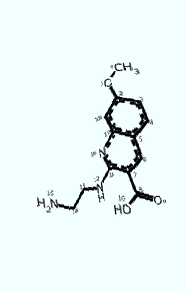 COc1ccc2cc(C(=O)O)c(NCCN)nc2c1